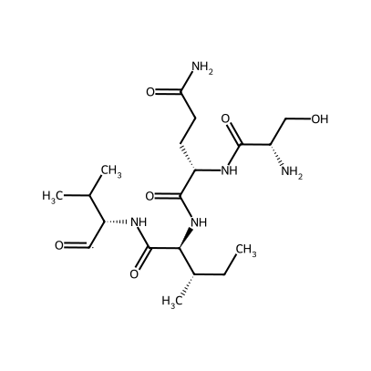 CC[C@H](C)[C@H](NC(=O)[C@H](CCC(N)=O)NC(=O)[C@@H](N)CO)C(=O)N[C@H]([C]=O)C(C)C